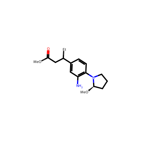 CCC(CC(=O)OC)c1ccc(N2CCC[C@H]2OC)c(N)c1